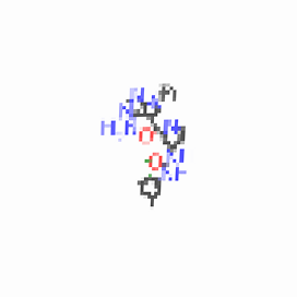 Cc1ccc(F)c(NC(=O)Nc2ccnc(C(=O)c3cn(C(C)C)c4ncnc(N)c34)c2)c1